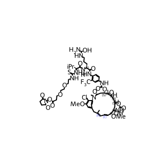 COc1cc2cc(c1Cl)N(C)C(=O)C[C@H](OC(=O)Nc1ccc(NC(=O)[C@H](CCCNC(N)O)NC(=O)[C@@H](NC(=S)NCCOCCOCCC(=O)ON3C(=O)CCC3=O)C(C)C)c(C(F)(F)F)c1)[C@]1(C)O[C@H]1[C@H](C)[C@@H]1C[C@@](O)(NC(=O)O1)[C@H](OC)/C=C/C=C(\C)C2